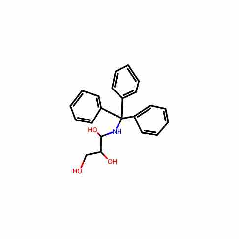 OCC(O)C(O)NC(c1ccccc1)(c1ccccc1)c1ccccc1